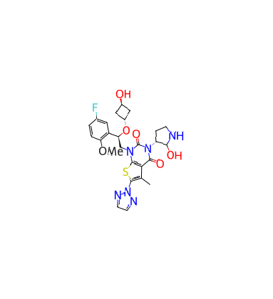 COc1ccc(F)cc1[C@H](Cn1c(=O)n([C@@H]2CCNC2O)c(=O)c2c(C)c(-n3nccn3)sc21)O[C@H]1C[C@H](O)C1